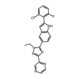 CCn1nc(-c2cnccn2)nc1-c1ccc2[nH]c(-c3c(F)cccc3Cl)cc2c1